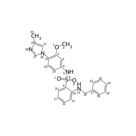 COc1cc(NS(=O)(=O)c2ccccc2NCc2ccccc2)ccc1-n1cnc(C)c1